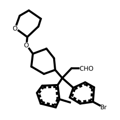 Cc1ccccc1C(CC=O)(c1ccc(Br)cc1)C1CCC(OC2CCCCO2)CC1